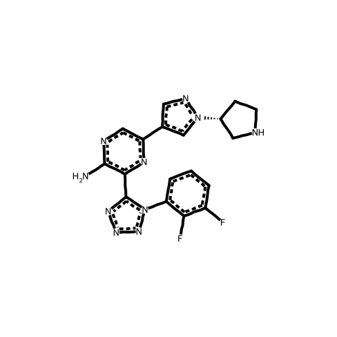 Nc1ncc(-c2cnn([C@@H]3CCNC3)c2)nc1-c1nnnn1-c1cccc(F)c1F